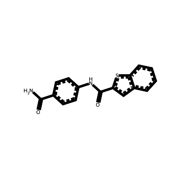 NC(=O)c1ccc(NC(=O)c2cc3ccccc3s2)cc1